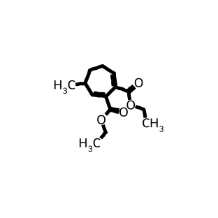 CCOC(=O)C1=CCCC(C)C=C1C(=O)OCC